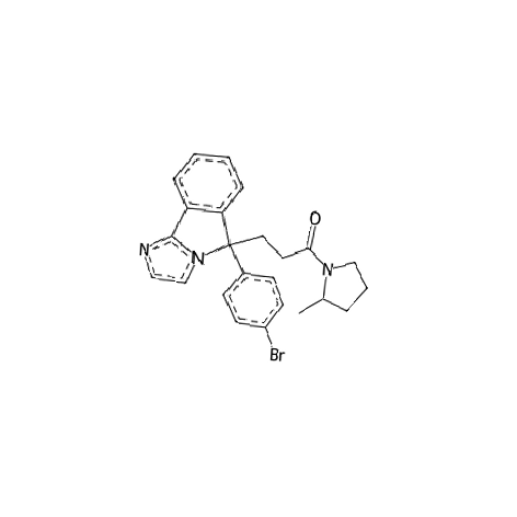 CC1CCCN1C(=O)CCC1(c2ccc(Br)cc2)c2ccccc2-c2nccn21